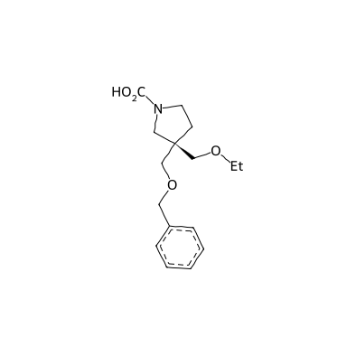 CCOC[C@]1(COCc2ccccc2)CCN(C(=O)O)C1